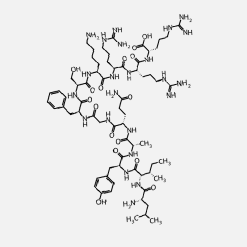 CC[C@H](C)[C@H](NC(=O)[C@@H](N)CC(C)C)C(=O)N[C@@H](Cc1ccc(O)cc1)C(=O)N[C@@H](C)C(=O)N[C@@H](CCC(N)=O)C(=O)NCC(=O)N[C@@H](Cc1ccccc1)C(=O)N[C@@H](CO)C(=O)N[C@@H](CCCCN)C(=O)N[C@@H](CCCNC(=N)N)C(=O)N[C@@H](CCCNC(=N)N)C(=O)N[C@@H](CCCNC(=N)N)C(=O)O